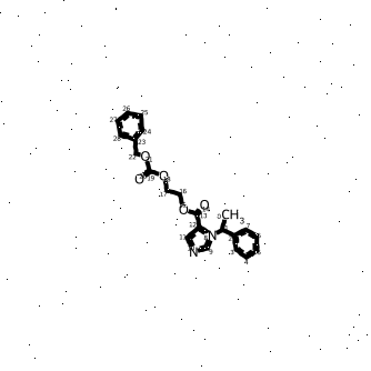 CC(c1ccccc1)n1cncc1C(=O)OCCOC(=O)OCc1ccccc1